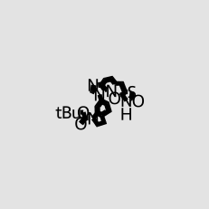 CC(C)(C)OC(=O)N1CCc2ccc(-n3cnc4ccc(C=C5SC(=O)NC5=O)nc43)cc21